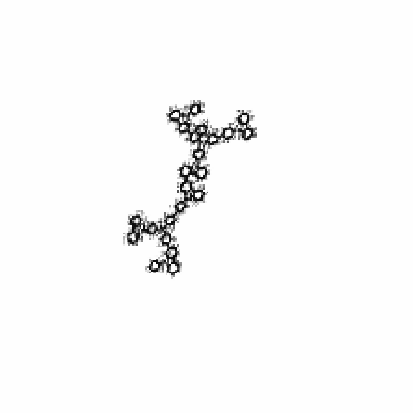 c1ccc(-n2c3ccccc3c3ccc(-c4ccc(N(c5ccc(-c6ccc(-n7c8ccccc8c8cc(-c9cccc%10c9c9ccccc9n%10-c9ccc(N(c%10ccc(-c%11ccc(-n%12c%13ccccc%13c%13ccccc%13%12)cc%11)cc%10)c%10ccc(-c%11ccc%12c%13ccccc%13n(-c%13ccccc%13)c%12c%11)c%11ccccc%10%11)cc9)ccc87)cc6)cc5)c5ccc(-n6c7ccccc7c7ccccc76)cc5)cc4)cc32)cc1